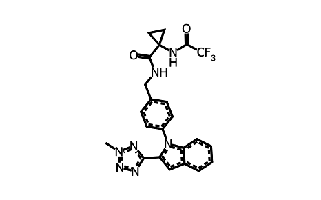 Cn1nnc(-c2cc3ccccc3n2-c2ccc(CNC(=O)C3(NC(=O)C(F)(F)F)CC3)cc2)n1